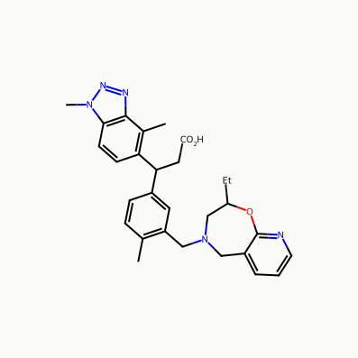 CCC1CN(Cc2cc(C(CC(=O)O)c3ccc4c(nnn4C)c3C)ccc2C)Cc2cccnc2O1